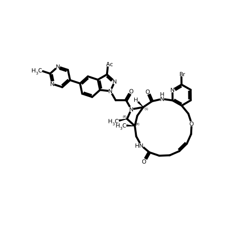 CC(=O)c1nn(CC(=O)N2[C@H]3C[C@](C)(CNC(=O)CCC=CCOCc4ccc(Br)nc4NC3=O)[C@H]2C)c2ccc(-c3cnc(C)nc3)cc12